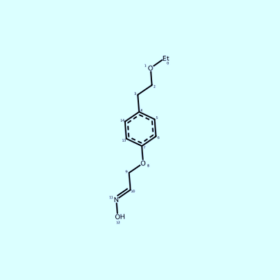 CCOCCc1ccc(OCC=NO)cc1